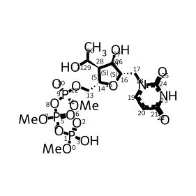 COP(=O)(O)OP(=O)(OC)OP(=O)(OC)OC[C@H]1O[C@@H](Cn2ccc(=O)[nH]c2=O)[C@H](O)[C@@H]1C(C)O